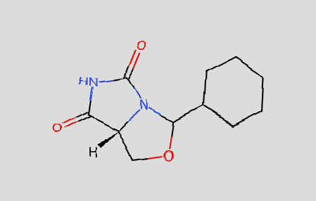 O=C1NC(=O)N2C(C3CCCCC3)OC[C@H]12